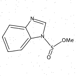 COS(=O)n1cnc2ccccc21